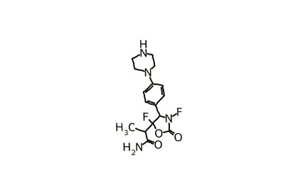 CC(C(N)=O)C1(F)OC(=O)N(F)C1c1ccc(N2CCNCC2)cc1